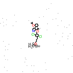 CC(C)(C)[Si](C)(C)OCCCCc1cc(Cl)c(COC2(c3cnccc3-c3ccccc3OC3CC3)CC2)cc1Cl